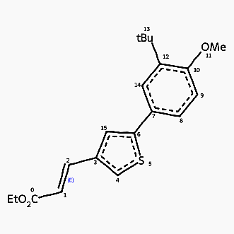 CCOC(=O)/C=C/c1csc(-c2ccc(OC)c(C(C)(C)C)c2)c1